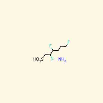 N.O=S(=O)(O)CC(F)C(F)CCCF